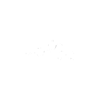 Cc1ccc(C(F)(F)c2cc(C(C)(C)C)ccc2Cl)cc1